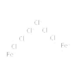 [Cl-].[Cl-].[Cl-].[Cl-].[Cl-].[Cl-].[Fe+3].[Fe+3]